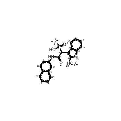 CP(=O)(O)C(C(=O)Nc1ccc2ccccc2c1)c1c(C(=O)O)sc2ccccc12